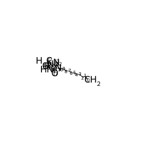 C=CCCCCCCCCCn1cnc2c1c(=O)[nH]c(=O)n2C